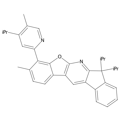 Cc1cnc(-c2c(C)ccc3c2oc2nc4c(cc23)-c2ccccc2C4(C(C)C)C(C)C)cc1C(C)C